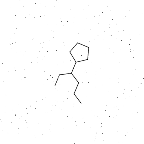 CCCC(CC)C1CCCC1